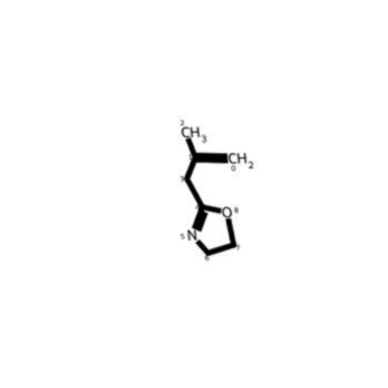 C=C(C)CC1=NCCO1